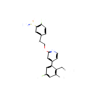 CC(C)c1cc(F)cc(-c2ccnc(OCCc3ccc(F)c([S+](N)[O-])c3)c2)c1CC(=O)O